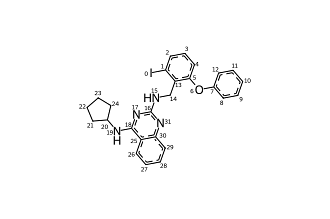 Ic1cccc(Oc2ccccc2)c1CNc1nc(NC2CCCC2)c2ccccc2n1